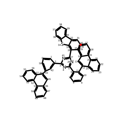 c1cc(-c2nc(-c3ccccc3-c3cc4ccccc4c4ccccc34)nc(-c3cccc4c3sc3ccccc34)n2)cc(-c2cc3ccccc3c3ccccc23)c1